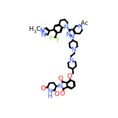 CC(=O)N1CCc2c(c(N3CCCc4cc(-c5cnn(C)c5)c(C(F)F)cc43)nn2C2CCN(CCN3CCC(COc4cccc5c4C(=O)N(C4CCC(=O)NC4=O)C5=O)CC3)CC2)C1